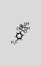 Cc1ccc(S(Cl)(Cl)P(=O)(O)O)cc1